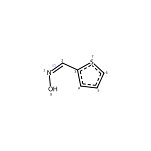 O/N=C\c1cccs1